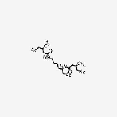 CC(=O)CC(C)CC(=O)NCCCCC(CC(C)=O)NC(=O)CC(C)CC(C)=O